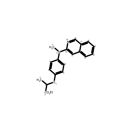 CCOC(=O)C(C)Oc1ccc(N(C)c2cc3ccccc3cn2)cc1